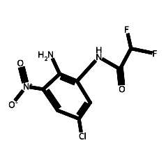 Nc1c(NC(=O)C(F)F)cc(Cl)cc1[N+](=O)[O-]